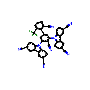 N#Cc1ccc2c(c1)c1cc(C#N)ccc1n2-c1cc(-c2c(C#N)cccc2C(F)(F)F)cc(-n2c3ccc(C#N)cc3c3cc(C#N)ccc32)c1C#N